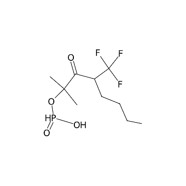 CCCCC(C(=O)C(C)(C)O[PH](=O)O)C(F)(F)F